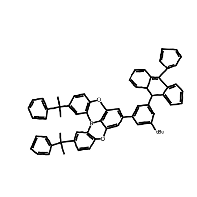 CC(C)(C)c1cc(-c2cc3c4c(c2)Oc2ccc(C(C)(C)c5ccccc5)cc2B4c2cc(C(C)(C)c4ccccc4)ccc2O3)cc(C2c3ccccc3C(c3ccccc3)=C3C=CC=CC32)c1